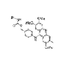 COc1cc2c(Nc3ccc(COC(=O)NC(C)C)cc3)c3cc(OC)c(OC)cc3nc2cc1C